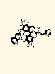 COc1cc2c(cc1OCCc1cccnc1OC)C(c1ccc(C)cc1C)N(C(=O)NCc1cocn1)CC2